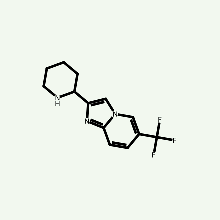 FC(F)(F)c1ccc2nc(C3CCCCN3)cn2c1